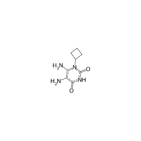 Nc1c(N)n(C2CCC2)c(=O)[nH]c1=O